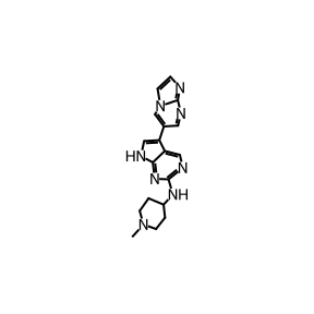 CN1CCC(Nc2ncc3c(-c4cnc5nccn5c4)c[nH]c3n2)CC1